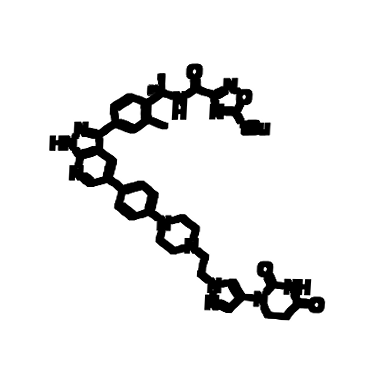 Cc1cc(-c2n[nH]c3ncc(-c4ccc(N5CCN(CCn6cc(N7CCC(=O)NC7=O)cn6)CC5)cc4)cc23)ccc1[C@@H](C)NC(=O)c1noc(C(C)(C)C)n1